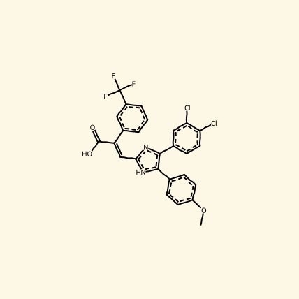 COc1ccc(-c2[nH]c(/C=C(/C(=O)O)c3cccc(C(F)(F)F)c3)nc2-c2ccc(Cl)c(Cl)c2)cc1